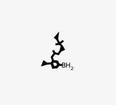 Bc1ccc(C2CC2)c(CC(C)CC2=C(C(C)(C)C3CC3)C2)c1